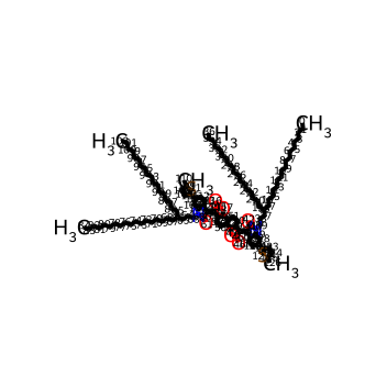 CCCCCCCCCCCCCCCCCCC(CCCCCCCCCCCCCCCCCC)CCCN1C(=O)/C(=C2/C(=O)Oc3c2ccc2c4c(ccc32)/C(=C2\C(=O)N(CCCC(CCCCCCCCCCCCCCCCCC)CCCCCCCCCCCCCCCCCC)c3cc(-c5ccc(C)s5)ccc32)C(=O)O4)c2ccc(-c3ccc(C)s3)cc21